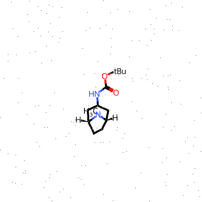 CN1[C@@H]2CC[C@H]1CC(NC(=O)OC(C)(C)C)C2